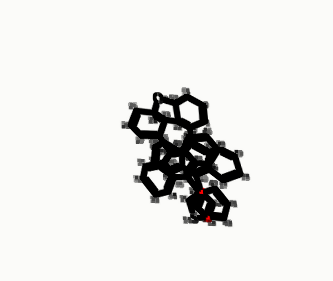 C1=CC(c2c3ccccc3c(-c3ccsc3)c3ccccc23)=C2c3c(cccc3-c3c4ccccc4c(-c4ccccc4)c4ccccc34)OC2C1